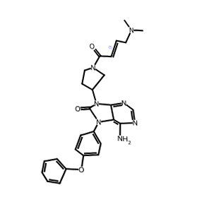 CN(C)C/C=C/C(=O)N1CCC(n2c(=O)n(-c3ccc(Oc4ccccc4)cc3)c3c(N)ncnc32)C1